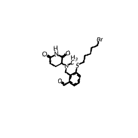 CN(Cc1c(C=O)cccc1SCCCCCBr)C1CCC(=O)NC1=O